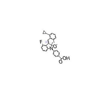 COC1(C)/C(=C\c2c(C)cccc2C2CC2)c2c(F)cccc2N1c1ccc(C(=O)O)cc1